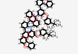 CC(C)(C)c1ccc2c(c1)Oc1cc(-c3cccc4oc5ccccc5c34)cc3c1B2c1cc2c(cc1N3c1ccccc1)N(c1c(-c3ccccc3)cccc1-c1ccccc1)c1cc(-c3cccc4oc5ccccc5c34)cc3c1B2c1ccc(C(C)(C)C)cc1O3